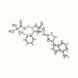 CCC(C)(C)C(=O)SCCOP(=O)(NCc1ccccc1)OC[C@H]1CC[C@@H](n2cnc3c(N)ncnc32)O1